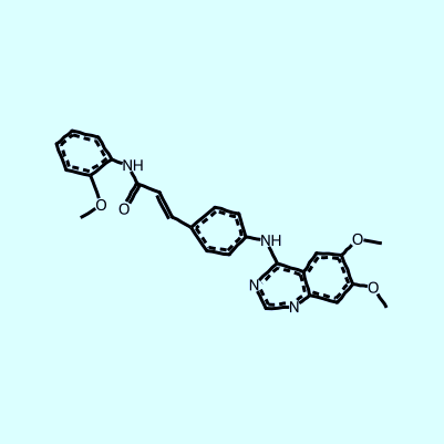 COc1ccccc1NC(=O)C=Cc1ccc(Nc2ncnc3cc(OC)c(OC)cc23)cc1